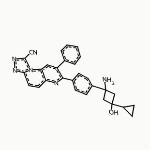 N#Cc1nnc2ccc3nc(-c4ccc(C5(N)CC(O)(C6CC6)C5)cc4)c(-c4ccccc4)cc3n12